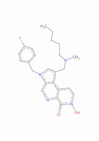 CCCCCN(C)Cc1cn(Cc2ccc(F)cc2)c2cnc3c(=O)n(O)ccc3c12